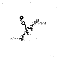 CCCCCC(CC)SSCCOC(=O)CCN(CCC(=O)OCCSSC(CC)CCCCC)CCC1CCN(Cc2ccccc2)CC1